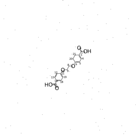 O=C(O)C1=CC=C(OCCOc2ccc(C(=O)O)cc2)CC1